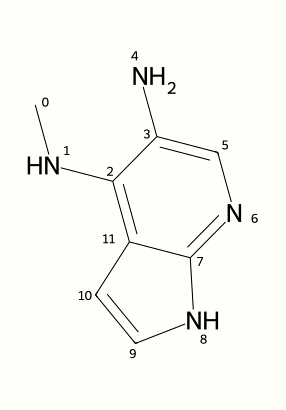 CNc1c(N)cnc2[nH]ccc12